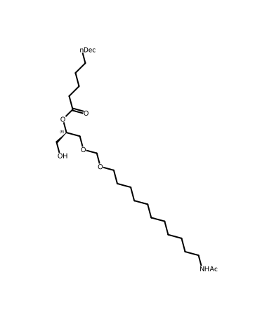 CCCCCCCCCCCCCCC(=O)O[C@H](CO)COCOCCCCCCCCCCCNC(C)=O